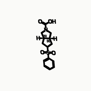 O=C(O)N1C[C@H]2CC(S(=O)(=O)c3ccccc3)C[C@H]2C1